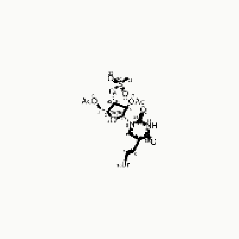 CC(=O)OC[C@H]1O[C@@H](n2cc(C=CBr)c(=O)[nH]c2=O)[C@H](OC(C)=O)[C@H]1OS(C)(=O)=O